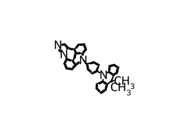 CC1(C)c2ccccc2N(c2ccc(-n3c4cccc5c4c4c3cccc4n3cncc53)cc2)c2ccccc21